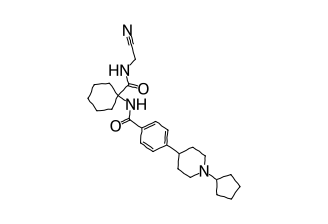 N#CCNC(=O)C1(NC(=O)c2ccc(C3CCN(C4CCCC4)CC3)cc2)CCCCC1